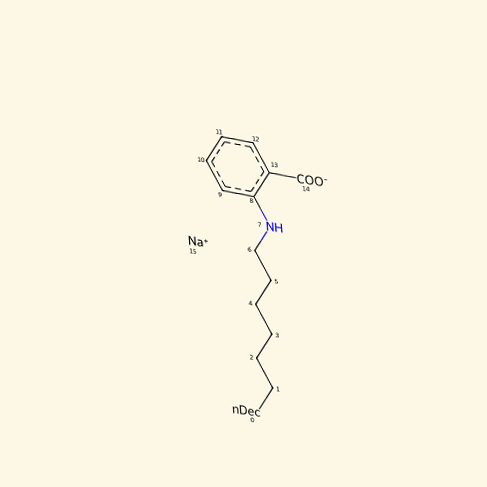 CCCCCCCCCCCCCCCCNc1ccccc1C(=O)[O-].[Na+]